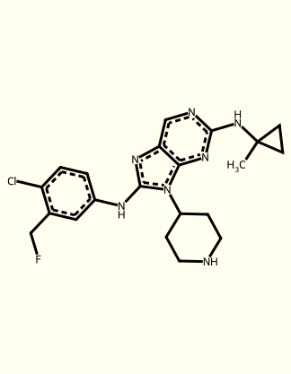 CC1(Nc2ncc3nc(Nc4ccc(Cl)c(CF)c4)n(C4CCNCC4)c3n2)CC1